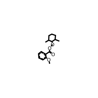 COc1ccccc1C(=O)OO[C]1C(C)CCCC1C